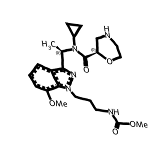 COC(=O)NCCCn1nc([C@@H](C)N(C(=O)[C@H]2CNCCO2)C2CC2)c2cccc(OC)c21